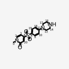 Cn1ccc(S(=O)(=O)c2ccc(N3CCNCC3)cc2)cc1=O